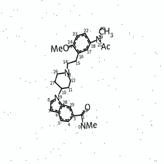 CNC(=O)c1ccc2ccn(C3CCN(CCc4cc(N(C)C(C)=O)ccc4OC)CC3)c2c1